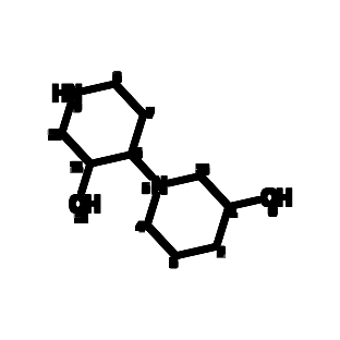 OC1CCCN(C2CCNCC2O)C1